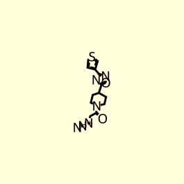 [N-]=[N+]=NCC(=O)N1CCC(c2nc(-c3ccsc3)no2)CC1